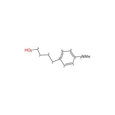 CNc1ccc(CCCCO)cc1